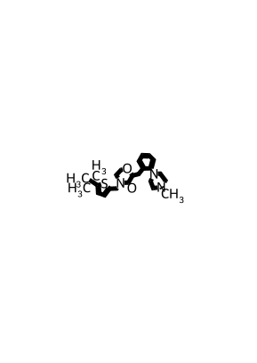 CN1CCN(c2ccccc2CC2OCCN(Cc3ccc(C(C)(C)C)s3)C2=O)CC1